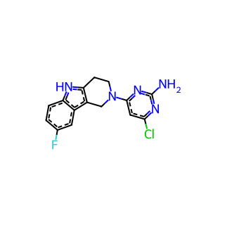 Nc1nc(Cl)cc(N2CCc3[nH]c4ccc(F)cc4c3C2)n1